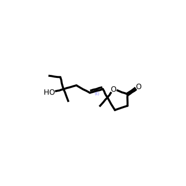 CCC(C)(O)C/C=C/C1(C)CCC(=O)O1